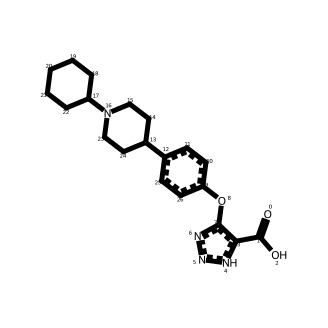 O=C(O)c1[nH]nnc1Oc1ccc(C2CCN(C3CCCCC3)CC2)cc1